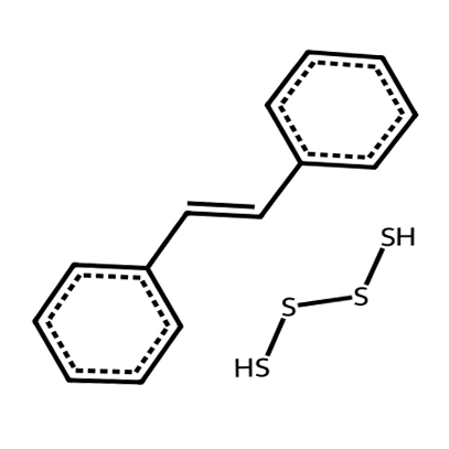 C(=Cc1ccccc1)c1ccccc1.SSSS